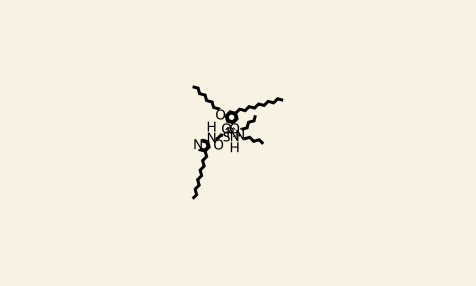 CCCCCCCCCCc1cncc(NC(=O)CSP(=O)(NN(CCCCC)CCCCC)Oc2cc(CCCCCCCCCC)cc(OCCCCCCCC)c2)c1